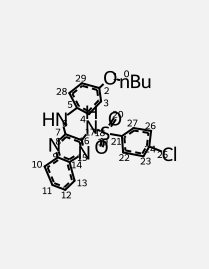 CCCCOc1ccc(Nc2nc3ccccc3nc2NS(=O)(=O)c2ccc(Cl)cc2)cc1